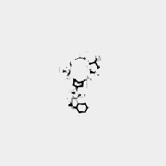 O=S1(=O)NCCCNc2nc(ncc2Br)Nc2cc1cc(S(=O)(=O)n1nnc3ccccc31)c2